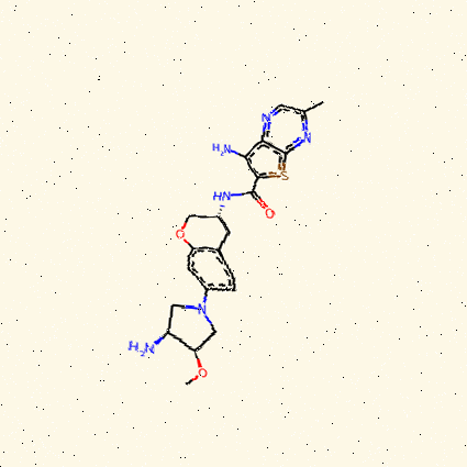 CO[C@@H]1CN(c2ccc3c(c2)OC[C@H](NC(=O)c2sc4nc(C)cnc4c2N)C3)C[C@@H]1N